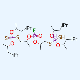 CC(C)CC(C)OP(=S)(OC(C)CC(C)C)SCC(C)OP(=O)(F)OC(C)CS[PH](S)(OC(C)CC(C)C)OC(C)CC(C)C